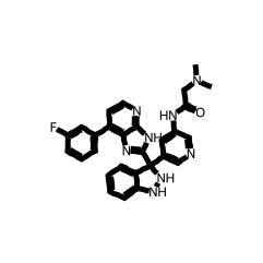 CN(C)CC(=O)Nc1cncc(C2(c3nc4c(-c5cccc(F)c5)ccnc4[nH]3)NNc3ccccc32)c1